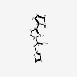 O=C(Cc1cccs1)N1CCC(c2ccco2)=N1